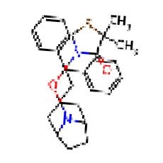 CC1(C)SCN(CCCN2C3CCC2CC(OC(c2ccccc2)c2ccccc2)C3)C1=O